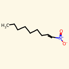 CCCCCCCC=C[N+](=O)[O-]